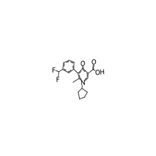 Cc1c(-c2cccc(C(F)F)c2)c(=O)c(C(=O)O)cn1C1CCCC1